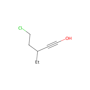 CCC(C#CO)CCCl